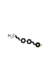 CCCCC[C@H]1CC[C@H](C2CCC(CCc3ccc(F)cc3)CC2)CC1